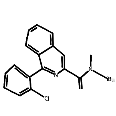 C=C(c1cc2ccccc2c(-c2ccccc2Cl)n1)N(C)C(C)CC